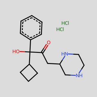 Cl.Cl.O=C(CC1CNCCN1)C(O)(c1ccccc1)C1CCC1